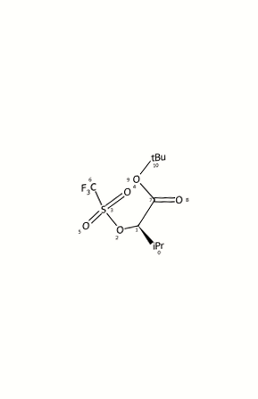 CC(C)[C@@H](OS(=O)(=O)C(F)(F)F)C(=O)OC(C)(C)C